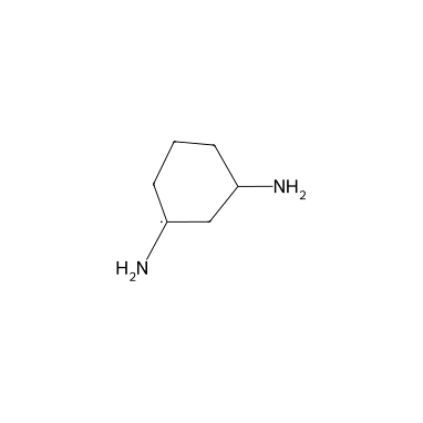 N[C]1CCCC(N)C1